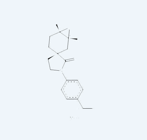 CO[C@H](c1ccc(N2CC[C@]3(CC[C@@H]4O[C@@H]4C3)C2=O)cc1)C(F)(F)F